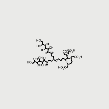 O=C(O)CN1CCN(CC(=O)O)C(N(CC(=O)O)CC(=O)O)C(CCCON(CCNC(=O)C(O)C(O)C(O)C(O)CO)CCNC(=O)C(O)C(O)C(O)C(O)CO)C1